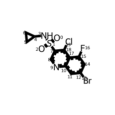 O=S(=O)(NC1CC1)c1cnc2cc(Br)cc(F)c2c1Cl